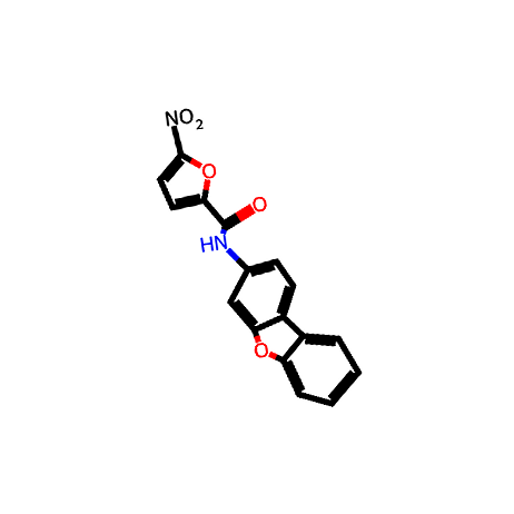 O=C(Nc1ccc2c(c1)oc1ccccc12)c1ccc([N+](=O)[O-])o1